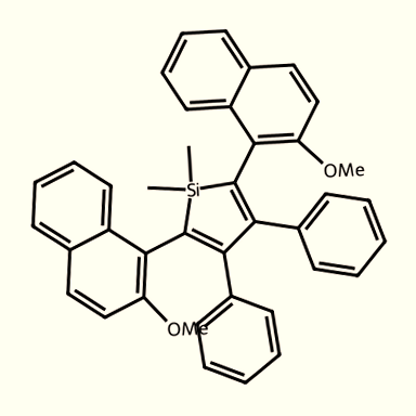 COc1ccc2ccccc2c1C1=C(c2ccccc2)C(c2ccccc2)=C(c2c(OC)ccc3ccccc23)[Si]1(C)C